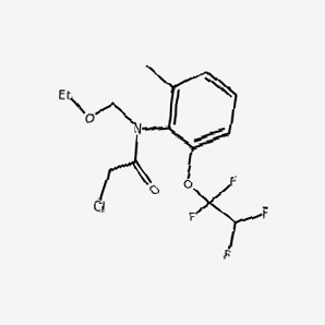 CCOCN(C(=O)CCl)c1c(C)cccc1OC(F)(F)C(F)F